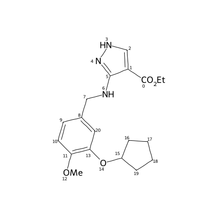 CCOC(=O)c1c[nH]nc1NCc1ccc(OC)c(OC2CCCC2)c1